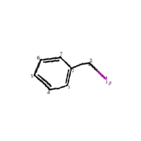 I[CH]c1ccccc1